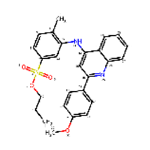 CCCOS(=O)(=O)c1ccc(C)c(Nc2cc(-c3ccc(OC)cc3)nc3ccccc23)c1